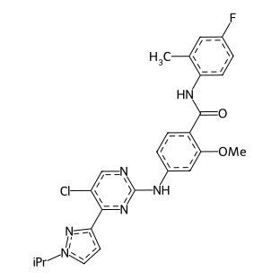 COc1cc(Nc2ncc(Cl)c(-c3ccn(C(C)C)n3)n2)ccc1C(=O)Nc1ccc(F)cc1C